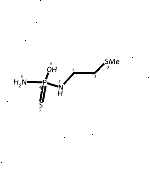 CSCCNP(N)(O)=S